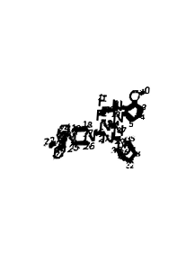 COc1cccc2c1nc(C(F)F)n2-c1nc(N2CCN(S(C)(=O)=O)CC2)nc(N2CC3CCC(C2)O3)n1